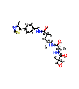 Cc1ncsc1-c1ccc(CNC(=O)[C@@H](C)C[C@@H](C)CNC(=O)[C@H](C)NC(=O)C2(C)COC2)cc1